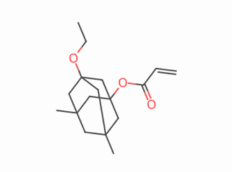 C=CC(=O)OC12CC3(C)CC(C)(CC(OCC)(C3)C1)C2